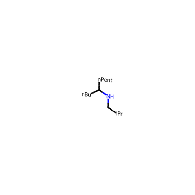 CCCCCC(CCCC)NCC(C)C